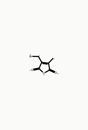 CC1=C(CBr)C(=O)OC1=O